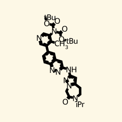 Cc1c(-c2ccc3nnc(Nc4cc5n(n4)CC(=O)N(C(C)C)CC5)cc3c2)cncc1N(C(=O)OC(C)(C)C)C(=O)OC(C)(C)C